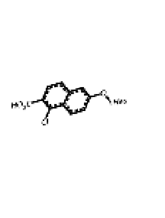 CCCCCCOc1ccc2c(Cl)c(C(=O)O)ccc2c1